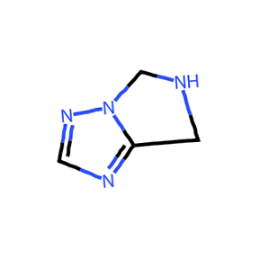 c1nc2n(n1)CNC2